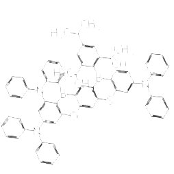 CC(C)c1cc(C(C)C)c(B2c3ccc(N(c4ccccc4)c4ccccc4)cc3Sc3cc4c(cc32)B2c3ccccc3N(c3ccccc3)c3cc(N(c5ccccc5)c5ccccc5)cc(c32)O4)c(C(C)C)c1